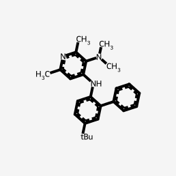 Cc1cc(Nc2ccc(C(C)(C)C)cc2-c2ccccc2)c(N(C)C)c(C)n1